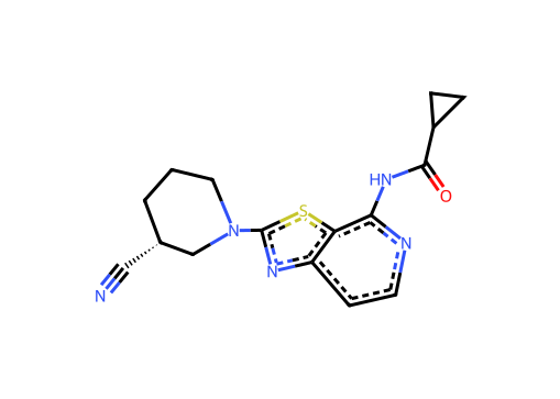 N#C[C@@H]1CCCN(c2nc3ccnc(NC(=O)C4CC4)c3s2)C1